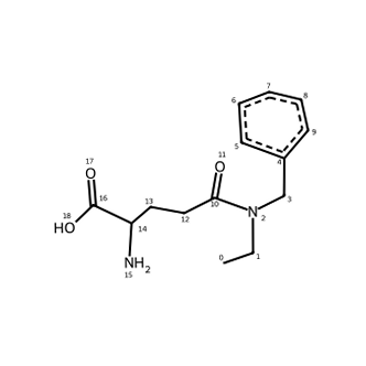 CCN(Cc1ccccc1)C(=O)CCC(N)C(=O)O